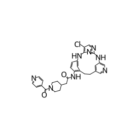 O=C(CC1CCN(C(=O)c2ccncc2)CC1)Nc1ccc2cc1CCc1cncc(c1)Nc1ncc(Cl)c(n1)N2